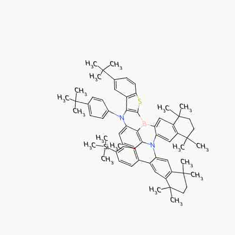 Cc1cc2c3c(c1)N(c1ccc(C(C)(C)C)cc1)c1c(sc4ccc(C(C)(C)C)cc14)B3c1cc3c(cc1N2c1cc2c(cc1-c1ccc([Si](C)(C)C)cc1)C(C)(C)CCC2(C)C)C(C)(C)CCC3(C)C